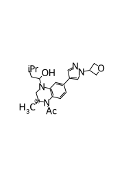 CC(=O)N1c2ccc(-c3cnn(C4COC4)c3)cc2N(C(O)CC(C)C)C[C@@H]1C